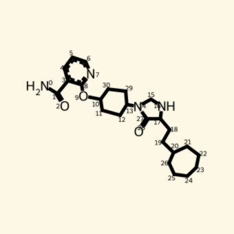 NC(=O)c1cccnc1OC1CCC(N2CNC(CCC3CCCCCC3)C2=O)CC1